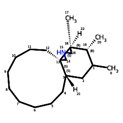 CC1C[C@@H]2CCCCCCCCC[C@]23CN[C@@H](C)[C@@H]3[C@@H]1C